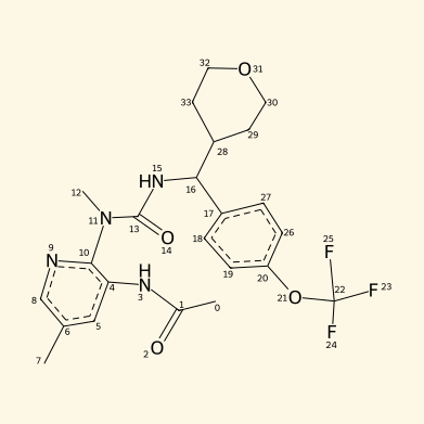 CC(=O)Nc1cc(C)cnc1N(C)C(=O)NC(c1ccc(OC(F)(F)F)cc1)C1CCOCC1